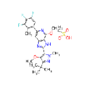 COc1c(C(C)(C)C)nn(C)c1-c1nc2cc(-c3cc(F)c(F)c(F)c3C)nc(OC)c2[nH]1.CS(=O)(=O)O